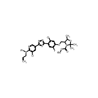 C=CCN(c1ncc(-c2nnc(-c3cc(F)c(OCC4C(C)OC(C)(C)N4C(=O)OC(C)(C)C)cc3Cl)s2)cc1Cl)C(C)C